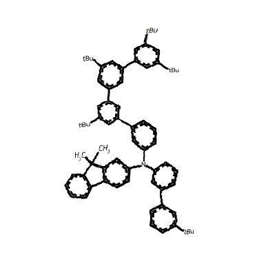 CC(C)(C)c1cccc(-c2cccc(N(c3cccc(-c4cc(-c5cc(-c6cc(C(C)(C)C)cc(C(C)(C)C)c6)cc(C(C)(C)C)c5)cc(C(C)(C)C)c4)c3)c3ccc4c(c3)C(C)(C)c3ccccc3-4)c2)c1